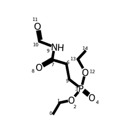 CCOP(=O)(CCC(=O)NC=O)OCC